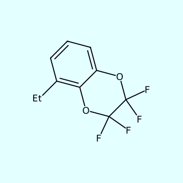 CCc1cccc2c1OC(F)(F)C(F)(F)O2